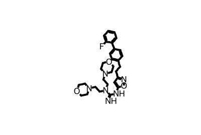 N=C(Nc1cc(CCc2ccc(-c3ccccc3F)cc2)no1)N(CCN1CCOCC1)CCN1CCOCC1